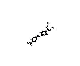 CCN(CC)c1ccc(/N=N/c2ccc([N+](=O)[O-])cc2)cc1